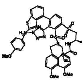 COc1ccc(CN(Cc2ccc(OC)cc2)S(=O)(=O)c2c(S(=O)(=O)C[C@@H](C)NC(=O)OC(C)(C)C)ccc(-c3cccc4sc(N)nc34)c2-c2nnn(Cc3ccc(OC)cc3)n2)cc1